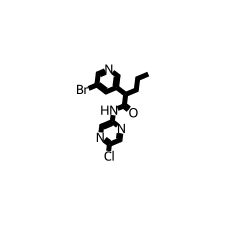 CCCC(C(=O)Nc1cnc(Cl)cn1)c1cncc(Br)c1